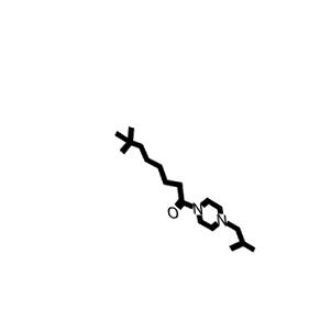 CC(C)CN1CCN(C(=O)CCCCCC(C)(C)C)CC1